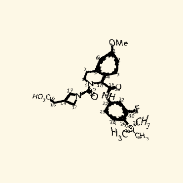 COc1ccc2c(c1)CCN(C(=O)N1CC(CC(=O)O)C1)C2C(=O)Nc1ccc([Si](C)(C)C)c(F)c1